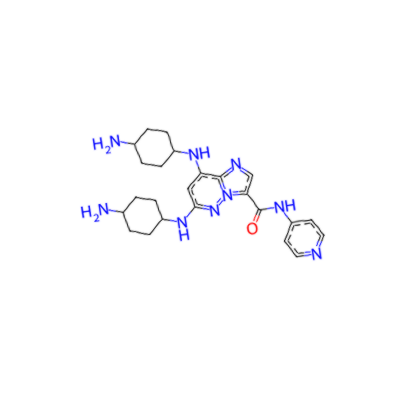 NC1CCC(Nc2cc(NC3CCC(N)CC3)c3ncc(C(=O)Nc4ccncc4)n3n2)CC1